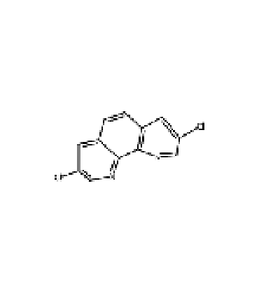 Clc1cnc2c(ccc3cc(Cl)cnc32)c1